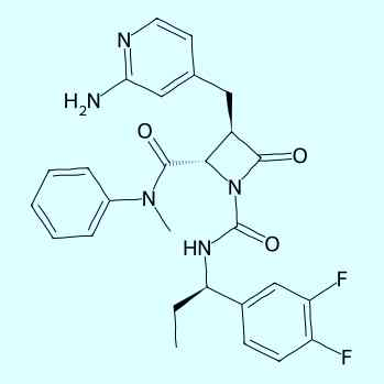 CC[C@@H](NC(=O)N1C(=O)[C@H](Cc2ccnc(N)c2)[C@H]1C(=O)N(C)c1ccccc1)c1ccc(F)c(F)c1